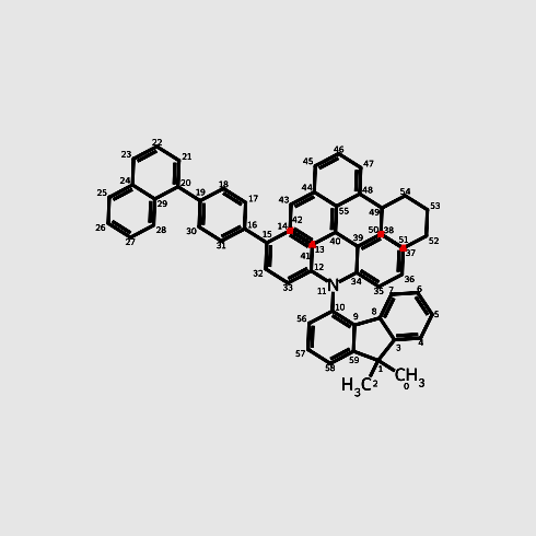 CC1(C)c2ccccc2-c2c(N(c3ccc(-c4ccc(-c5cccc6ccccc56)cc4)cc3)c3ccccc3-c3cccc4cccc(C5CCCCC5)c34)cccc21